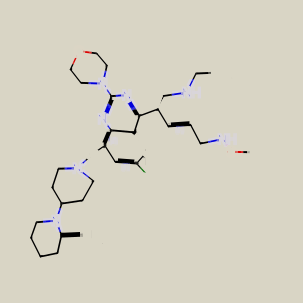 C=C1CCCCN1C1CCN(CC(/C=C(\C)F)=c2\nc(N3CCOCC3)nc([C@H](/C=C/CNOC)CNCC)c2=C)CC1